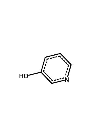 Oc1cc[c]nc1